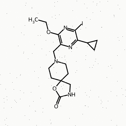 CCOc1nc(I)c(C2CC2)nc1CN1CCC2(CC1)CNC(=O)O2